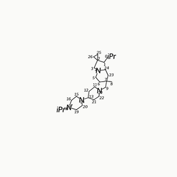 CC(C)CC1(CN2CCC(C)(CN3CCC(N4CCN(C(C)C)CC4)CC3)CC2)CC1